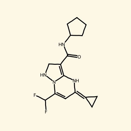 O=C(NC1CCCC1)C1=C2NC(=C3CC3)C=C(C(F)F)N2NC1